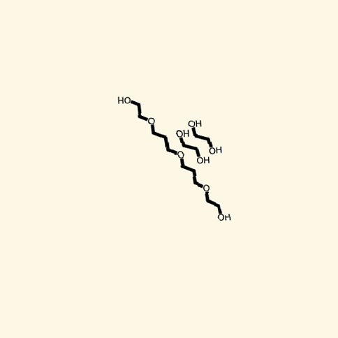 OCCO.OCCO.OCCOCCCOCCCOCCO